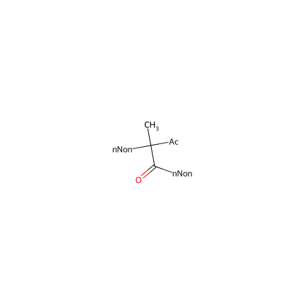 CCCCCCCCCC(=O)C(C)(CCCCCCCCC)C(C)=O